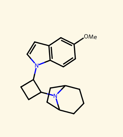 COc1ccc2c(ccn2C2CCC2N2C3CCCC2CC3)c1